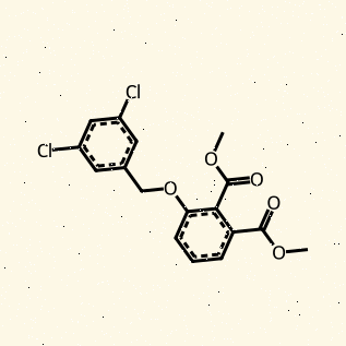 COC(=O)c1cccc(OCc2cc(Cl)cc(Cl)c2)c1C(=O)OC